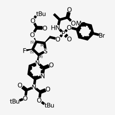 COC(=O)C(C)NP(=O)(OC[C@H]1S[C@@H](n2ccc(N(C(=O)OC(C)(C)C)C(=O)OC(C)(C)C)nc2=O)[C@@H](F)[C@@H]1OC(=O)OC(C)(C)C)Oc1ccc(Br)cc1